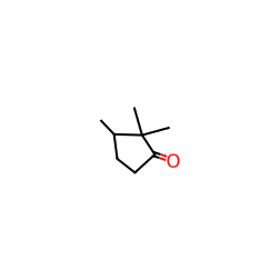 CC1CCC(=O)C1(C)C